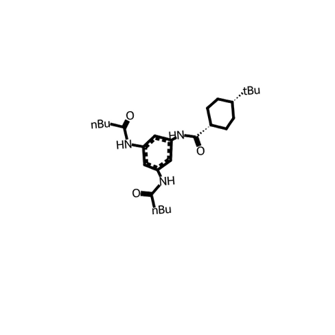 CCCCC(=O)Nc1cc(NC(=O)CCCC)cc(NC(=O)[C@H]2CC[C@@H](C(C)(C)C)CC2)c1